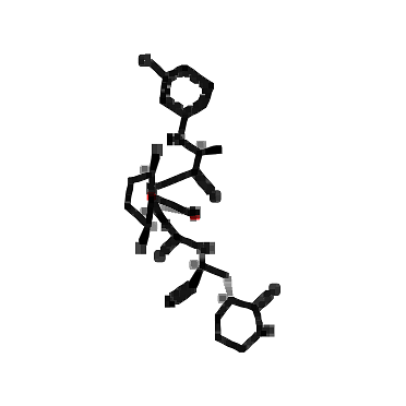 C[C@H](Nc1cccc(Cl)c1)C(=O)N1[C@H]2CC[C@@H]([C@@H]1C(=O)N[C@H](C#N)C[C@H]1CCCNC1=O)C(F)(F)C2